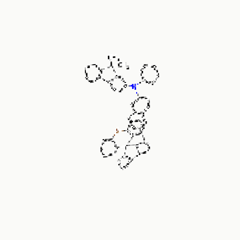 CC1(C)c2ccccc2-c2ccc(N(c3ccccc3)c3ccc4cc(-c5cccc6c5C5(c7ccccc7Sc7ccccc75)c5ccccc5-6)ccc4c3)cc21